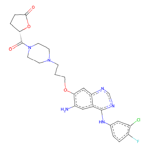 Nc1cc2c(Nc3ccc(F)c(Cl)c3)ncnc2cc1OCCCN1CCN(C(=O)[C@@H]2CCC(=O)O2)CC1